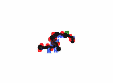 CN(CCOCCc1ccc(NC(=O)NCc2ccc3c(c2)CN(C2CCC(=O)N(CNC(=O)CNC(=O)[C@H](Cc4ccccc4)NC(=O)CNC(=O)CNC(=O)CCCCCN4C(=O)CCC4=O)C2=O)C3=O)cc1Cl)C(=O)OC(C)(C)C